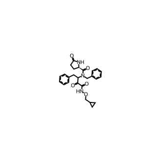 O=C1CC[C@H](C(=O)N(Cc2ccccc2)C(Cc2ccccc2)C(=O)C(=O)NOCC2CC2)N1